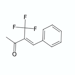 CC(=O)C(=Cc1ccccc1)C(F)(F)F